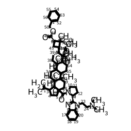 C=C(C)C1CCC2(C(=O)N3CCC[C@H]3c3nc4ccccc4n3CCN(C)C)CCC3(C)[C@H](CC[C@@H]4[C@]5(C)CC[C@H]([C@@]6(C(=O)O)C[C@@H](C(=O)OCc7ccccc7)C6(C)C)C(C)(C)[C@H]5CC[C@]43C)[C@@H]12